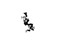 Cc1nc2ccc(-c3ccn4nc(NCC5CC5)ncc34)nc2n1CCF